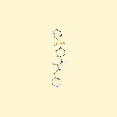 O=C(NCc1ccncc1)Nc1ccc(S(=O)(=O)c2cccnc2)cc1